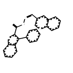 O=C(N/N=C\c1cnc2ccccc2c1)c1[nH]c2ccccc2c1-c1ccccc1